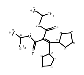 CC(C)OC(=O)C(C(=O)OC(C)C)=C(C1CCCC1)C1CCCC1